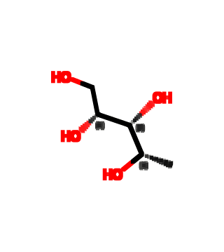 C[C@H](O)[C@@H](O)[C@H](O)CO